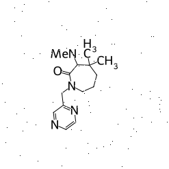 CNC1C(=O)N(Cc2cnccn2)CCCC1(C)C